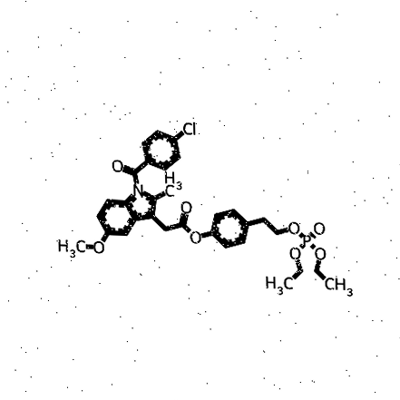 CCOP(=O)(OCC)OCCc1ccc(OC(=O)Cc2c(C)n(C(=O)c3ccc(Cl)cc3)c3ccc(OC)cc23)cc1